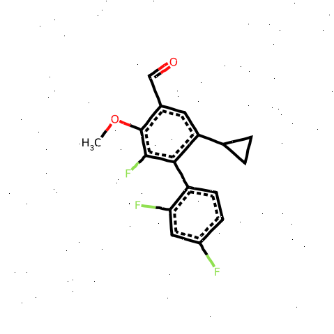 COc1c(C=O)cc(C2CC2)c(-c2ccc(F)cc2F)c1F